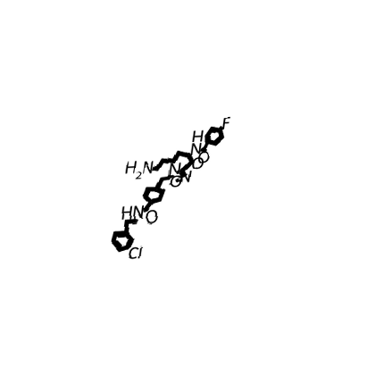 NCCCCC(NC(=O)c1ccc(F)cc1)C(=O)c1noc(Cc2ccc(C(=O)NCCc3cccc(Cl)c3)cc2)n1